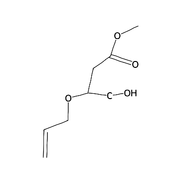 C=CCOC(CO)CC(=O)OC